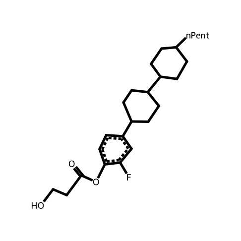 CCCCCC1CCC(C2CCC(c3ccc(OC(=O)CCO)c(F)c3)CC2)CC1